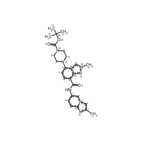 Cc1cn2cc(NC(=O)c3ccc(N4CCN(C(=O)OC(C)(C)C)CC4)c4cn(C)nc34)ccc2n1